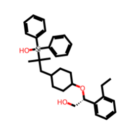 CCc1ccccc1[C@H](CO)OC1CCC(CC(C)(C)[Si](O)(c2ccccc2)c2ccccc2)CC1